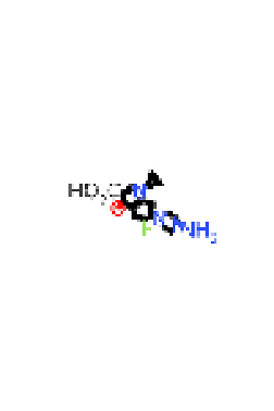 NN1CCN(c2cc3c(cc2F)c(=O)c(C(=O)O)cn3C2CC2)CC1